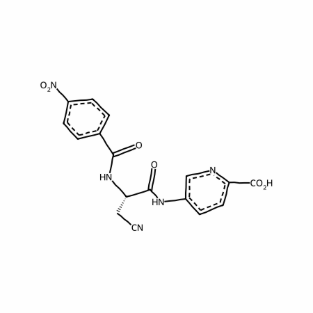 N#CC[C@H](NC(=O)c1ccc([N+](=O)[O-])cc1)C(=O)Nc1ccc(C(=O)O)nc1